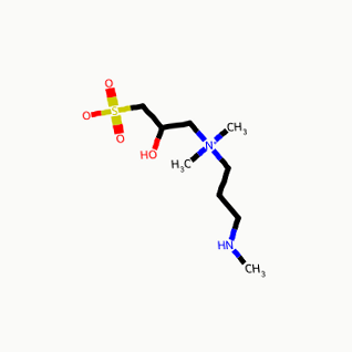 CNCCC[N+](C)(C)CC(O)CS(=O)(=O)[O-]